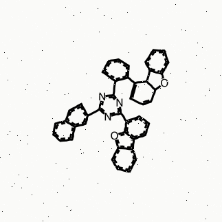 C1=CC2Oc3ccccc3C2C(c2ccccc2-c2nc(-c3ccc4ccccc4c3)nc(-c3cccc4c3oc3ccccc34)n2)=C1